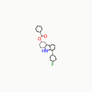 O=C(OC1CCc2[nH]c3c(-c4ccc(F)cc4)cccc3c2C1)c1ccccc1